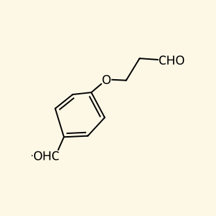 O=[C]c1ccc(OCCC=O)cc1